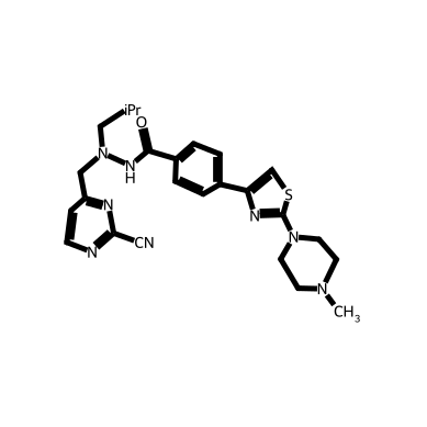 CC(C)CN(Cc1ccnc(C#N)n1)NC(=O)c1ccc(-c2csc(N3CCN(C)CC3)n2)cc1